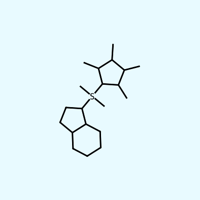 CC1C(C)C(C)C(S(C)(C)C2CCC3CCCCC32)C1C